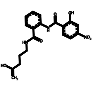 C=C(O)CCCNC(=O)c1ccccc1NC(=O)c1ccc([N+](=O)[O-])cc1O